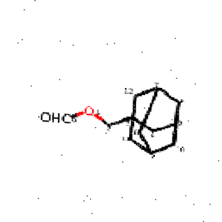 O=[C]OCC12CC3CC(CC(C3)C1)C2